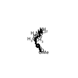 COC(=O)COc1ccc(CCC[N+](C)(C)CCNC(=O)c2nc(Cl)c(N)nc2N)cc1